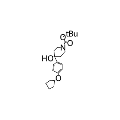 CC(C)(C)OC(=O)N1CCC(O)(c2ccc(OC3CCCC3)cc2)CC1